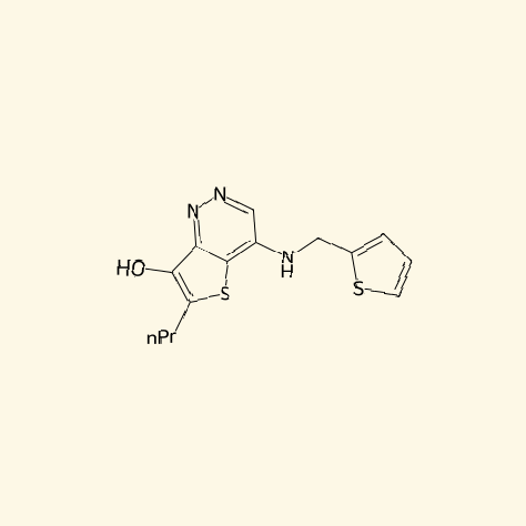 CCCc1sc2c(NCc3cccs3)cnnc2c1O